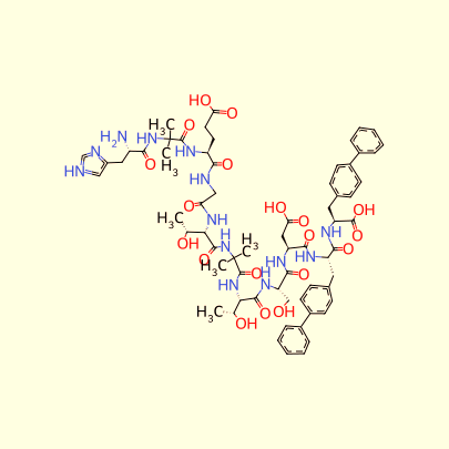 C[C@@H](O)[C@H](NC(=O)CNC(=O)[C@H](CCC(=O)O)NC(=O)C(C)(C)NC(=O)[C@@H](N)Cc1c[nH]cn1)C(=O)NC(C)(C)C(=O)N[C@H](C(=O)N[C@@H](CO)C(=O)N[C@@H](CC(=O)O)C(=O)N[C@@H](Cc1ccc(-c2ccccc2)cc1)C(=O)N[C@@H](Cc1ccc(-c2ccccc2)cc1)C(=O)O)[C@@H](C)O